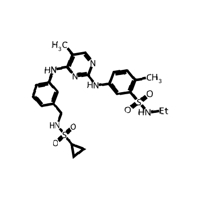 CCNS(=O)(=O)c1cc(Nc2ncc(C)c(Nc3cccc(CNS(=O)(=O)C4CC4)c3)n2)ccc1C